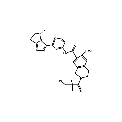 COc1cc2c(cc1C(=O)Nc1cccc(-c3nnc4n3[C@@H](C)CC4)n1)CN(C(=O)C(C)(C)CO)CC2